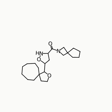 O=C(C1CC(C2OCCC23CCCCCCC3)ON1)N1CC2(CCCC2)C1